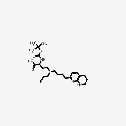 CC(C)(C)OC(=O)NC(CCN(CCF)CCCCc1ccc2c(n1)NCCC2)C(=O)O